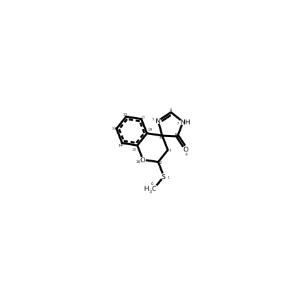 CSC1CC2(N=CNC2=O)c2ccccc2O1